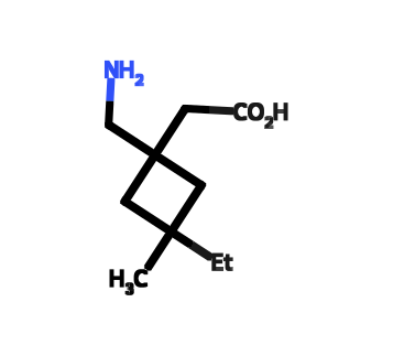 CCC1(C)CC(CN)(CC(=O)O)C1